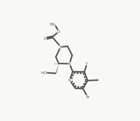 Cc1c(Br)cnc(N2CCN(C(=O)OC(C)(C)C)C[C@H]2CO)c1F